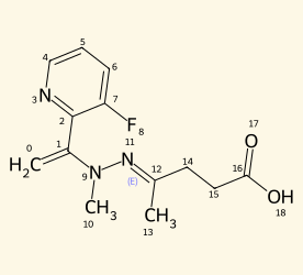 C=C(c1ncccc1F)N(C)/N=C(\C)CCC(=O)O